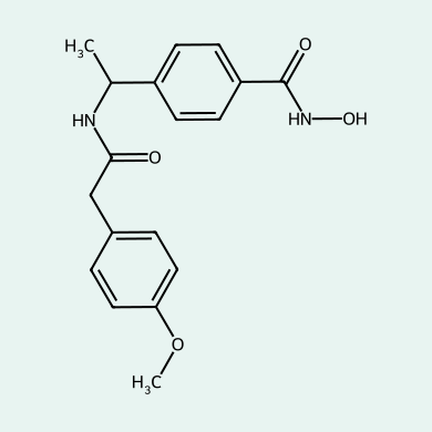 COc1ccc(CC(=O)NC(C)c2ccc(C(=O)NO)cc2)cc1